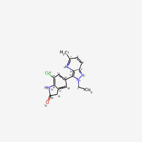 CCn1nc2ccc(C)nc2c1-c1cc(Cl)c2c(c1)CC(=O)N2